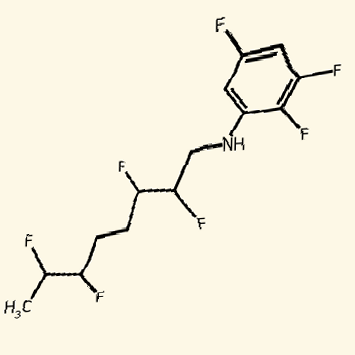 CC(F)C(F)CCC(F)C(F)CNc1cc(F)cc(F)c1F